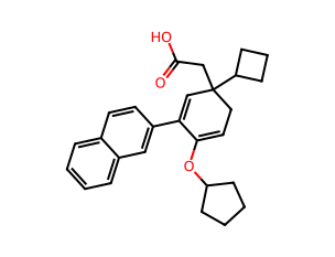 O=C(O)CC1(C2CCC2)C=C(c2ccc3ccccc3c2)C(OC2CCCC2)=CC1